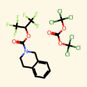 O=C(OC(C(F)(F)F)C(F)(F)F)N1CCc2ccccc2C1.O=C(OC(Cl)(Cl)Cl)OC(Cl)(Cl)Cl